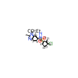 CCOC(=O)Cn1c(C)nc2ccc(NS(=O)(=O)c3cccc(Cl)c3C)cc21